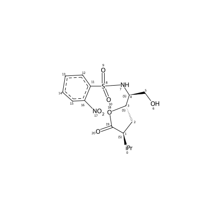 CC(C)[C@@H]1C[C@@H]([C@H](CO)NS(=O)(=O)c2ccccc2[N+](=O)[O-])OC1=O